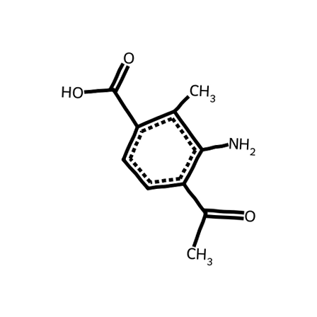 CC(=O)c1ccc(C(=O)O)c(C)c1N